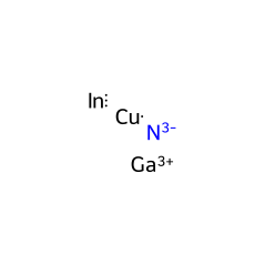 [Cu].[Ga+3].[In].[N-3]